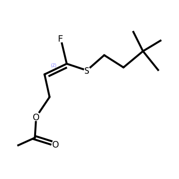 CC(=O)OC/C=C(/F)SCCC(C)(C)C